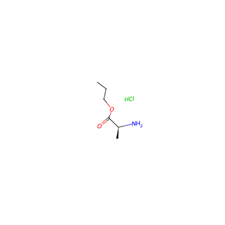 CCCOC(=O)[C@H](C)N.Cl